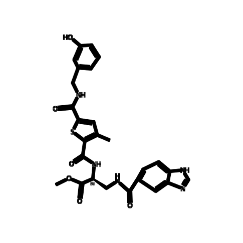 COC(=O)[C@H](CNC(=O)c1ccc2[nH]cnc2c1)NC(=O)c1sc(C(=O)NCc2cccc(O)c2)cc1C